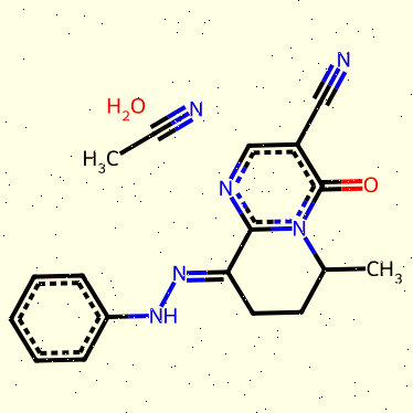 CC#N.CC1CCC(=NNc2ccccc2)c2ncc(C#N)c(=O)n21.O